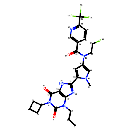 CCCn1c(=O)n(C2CCC2)c(=O)c2[nH]c(-c3cc(N(CCF)C(=O)c4ccc(C(F)(F)F)nc4)cn3C)nc21